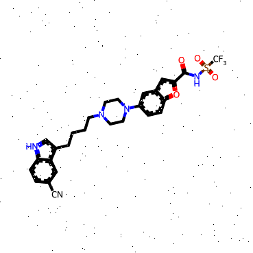 N#Cc1ccc2[nH]cc(CCCCN3CCN(c4ccc5oc(C(=O)NS(=O)(=O)C(F)(F)F)cc5c4)CC3)c2c1